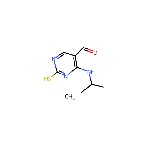 C.CC(C)Nc1nc(S)ncc1C=O